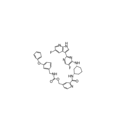 O=C(NCc1cccc(Oc2ccccc2)c1)OCc1ccnc(C(=O)N[C@H]2CCC[C@@H](Nc3nc(-c4c[nH]c5ncc(F)cc45)ncc3F)C2)c1